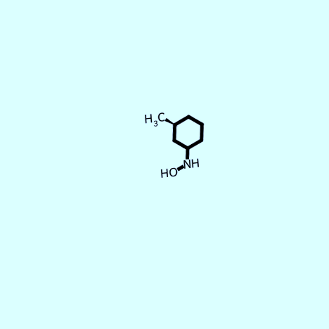 C[C@H]1CCCC(NO)C1